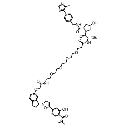 Cc1ncsc1-c1ccc(CNC(=O)[C@@H]2C[C@@H](O)CN2C(=O)[C@@H](NC(=O)CCOCCOCCOCCOCCNC(=O)COc2ccc3c(c2)[C@H](N2CC=C(c4ccc(C(=O)N(C)C)c(O)c4)O2)CC3)C(C)(C)C)cc1